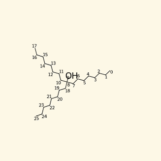 CCCCCCCCC(O)(CCCCCCCC)CCCCCCCC